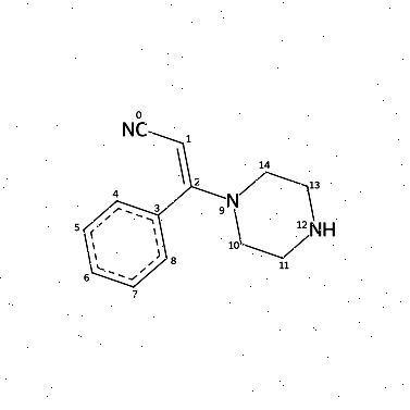 N#C/C=C(\c1ccccc1)N1CCNCC1